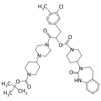 Cc1ccc(CC(OC(=O)N2CCC(N3CCc4ccccc4NC3=O)CC2)C(=O)N2CCN(C3CCN(C(=O)OC(C)(C)C)CC3)CC2)cc1Cl